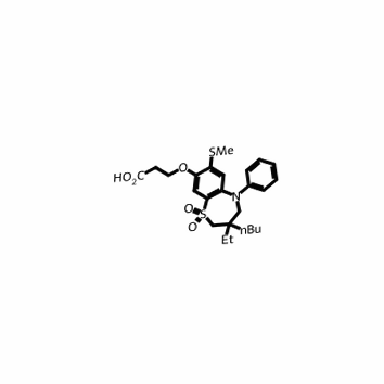 CCCCC1(CC)CN(c2ccccc2)c2cc(SC)c(OCCC(=O)O)cc2S(=O)(=O)C1